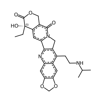 CC[C@@]1(O)C(=O)OCc2c1cc1n(c2=O)Cc2c-1nc1cc3c(cc1c2CCNC(C)C)OCO3